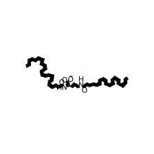 CC/C=C\C/C=C\C/C=C\C/C=C\C/C=C\C/C=C\CCC(=O)N[C@@H](CCCNC(=O)CCC/C=C\C/C=C\C/C=C\C/C=C\C/C=C\CC)C(=O)OC